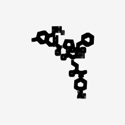 CC(=O)N1CCC(N(C)C(=O)CC[C@@H](NS(=O)(=O)Cc2ccccc2)C(=O)N2CCC[C@H]2C(=O)NCc2cc(C)ccc2CN)CC1